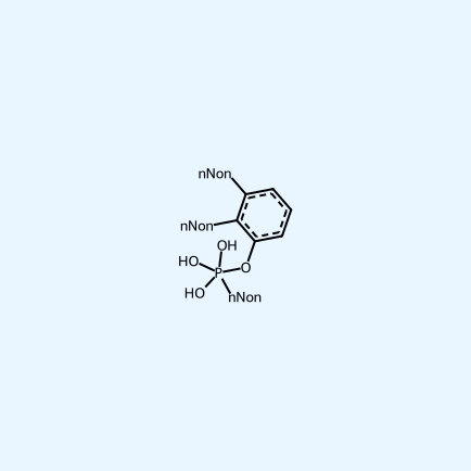 CCCCCCCCCc1cccc(OP(O)(O)(O)CCCCCCCCC)c1CCCCCCCCC